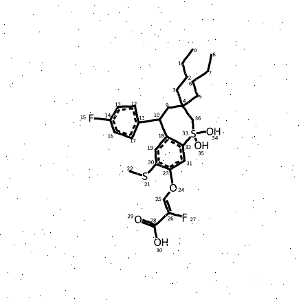 CCCCC1(CCCC)CC(c2ccc(F)cc2)c2cc(SC)c(OC=C(F)C(=O)O)cc2S(O)(O)C1